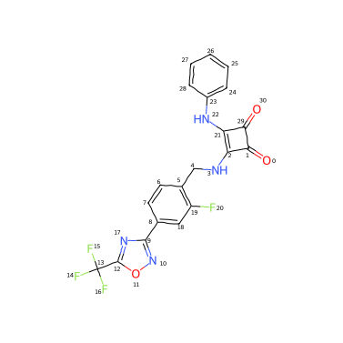 O=c1c(NCc2ccc(-c3noc(C(F)(F)F)n3)cc2F)c(Nc2ccccc2)c1=O